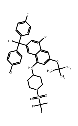 CC(C)(C)Oc1cc(NC2CCN(S(=O)(=O)C(F)(F)F)CC2)c2cc(C(O)(c3ccc(Cl)cc3)c3ccc(Cl)cc3)cc(Br)c2n1